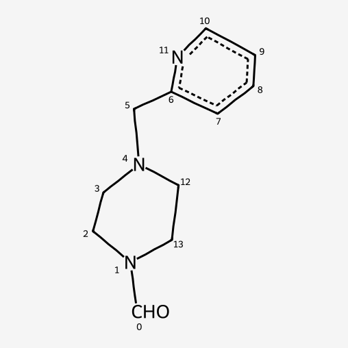 O=CN1CCN(Cc2ccccn2)CC1